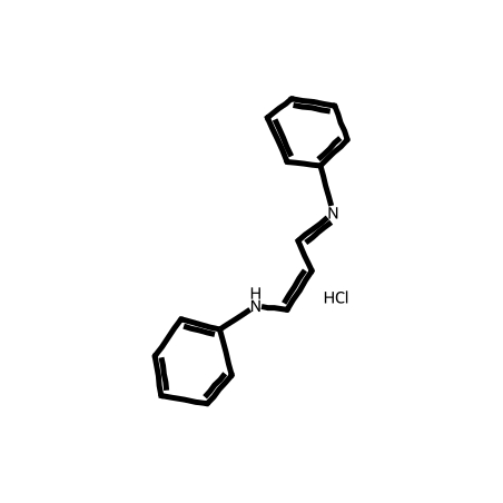 C(=C/Nc1ccccc1)/C=N/c1ccccc1.Cl